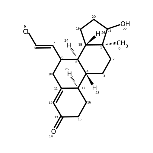 C[C@]12CC[C@H]3[C@@H](C(C=CCl)CC4=CC(=O)CC[C@@H]43)[C@@H]1CCC2O